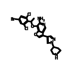 CC(Oc1c(N)ncc2c(-c3cnn(C4CCNCC4)c3)coc12)c1c(Cl)cc(Br)cc1Cl